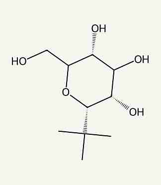 CC(C)(C)[C@@H]1OC(CO)[C@H](O)C(O)[C@@H]1O